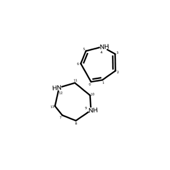 C1=CC=CNC=C1.C1CNCCNC1